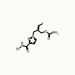 CCNC(=O)c1ccn(CC(=CF)COC(N)=O)n1